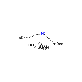 CCCCCCCCCCCCCCCCCC[N+](C)(C)CCCCCCCCCCCCCCCCCC.O=C(O)C1(C(=O)O)CCCC1(C(=O)O)C(=O)O